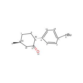 CCCCc1ccc([C@H]2CC[C@H](C)CC2=O)cc1